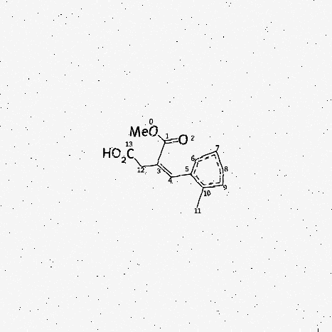 COC(=O)C(=Cc1ccccc1C)CC(=O)O